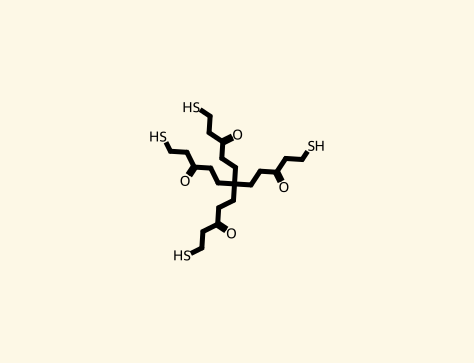 O=C(CCS)CCC(CCC(=O)CCS)(CCC(=O)CCS)CCC(=O)CCS